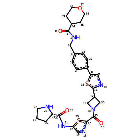 O=C(NCc1ccc(-c2cnc(C3CN(C(=O)c4ncc(NC(=O)[C@@H]5CCCN5)s4)C3)s2)cc1)C1CCOCC1